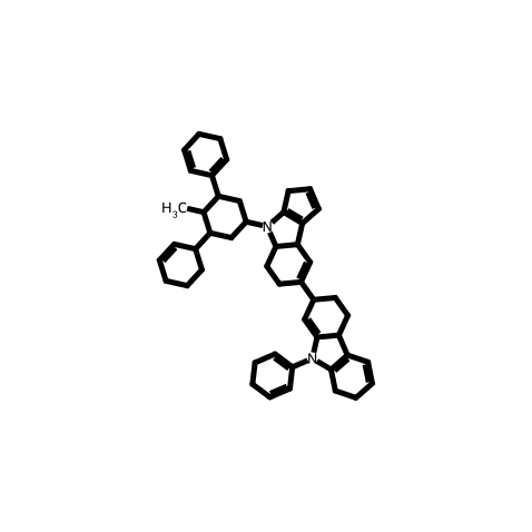 CC1C(C2=CCCC=C2)CC(N2C3=C(C=CC3)C3C=C(C4C=C5C(CC4)C4=C(CCC=C4)N5C4=CCCC=C4)CCC32)CC1C1C=CCCC1